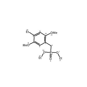 CCOP(=O)(Cc1cc(OC)c(CC)cc1OC)OCC